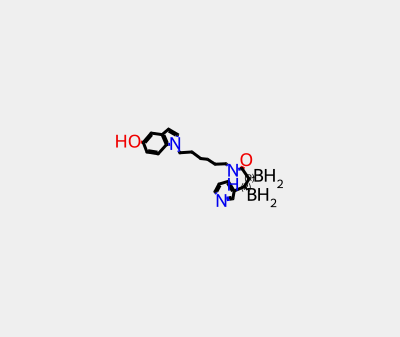 B[C@@H](C(=O)NCCCCCCn1ccc2cc(O)ccc21)[C@@H](B)c1cccnc1